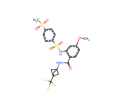 COc1ccc(C(=O)NC23CC(C(F)(F)F)(C2)C3)c(NS(=O)(=O)c2ccc(S(C)(=O)=O)cc2)c1